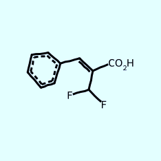 O=C(O)C(=Cc1ccccc1)C(F)F